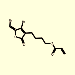 C=CC(=O)OCCCCC1=C(Br)C(=CBr)OC1=O